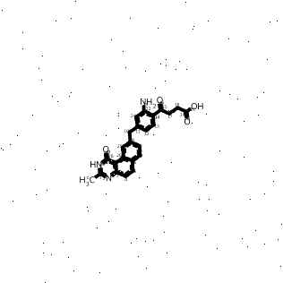 Cc1nc2ccc3ccc(Cc4ccc(C(=O)CCC(=O)O)c(N)c4)cc3c2c(=O)[nH]1